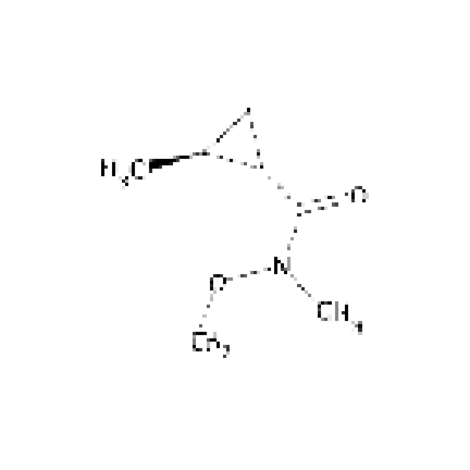 CON(C)C(=O)[C@H]1C[C@@H]1C